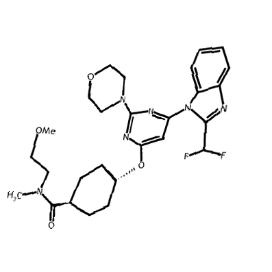 COCCN(C)C(=O)[C@H]1CC[C@H](Oc2cc(-n3c(C(F)F)nc4ccccc43)nc(N3CCOCC3)n2)CC1